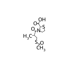 CC(=O)SCC(C)C(=O)N1CCSC1C(=O)O